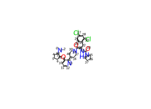 CN(C)[C@@H]1CCC[C@@H]1Oc1cccnc1C1CCN(C(=O)[C@@H](Cc2ccc(Cl)cc2Cl)NC(=O)N2CCCC2)CC1